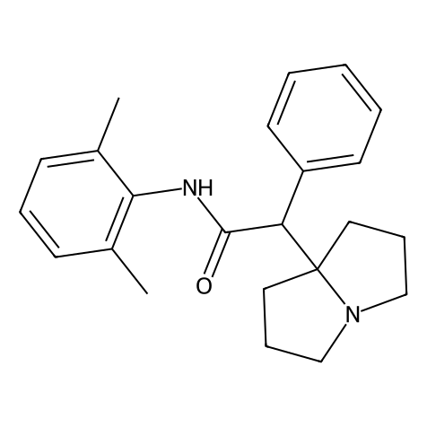 Cc1cccc(C)c1NC(=O)C(c1ccccc1)C12CCCN1CCC2